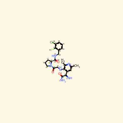 Cc1cc(C(=N)C(N)=O)c(NCC(=O)N2CCC[C@H]2C(=O)NCc2cccc(Cl)c2F)c(C)n1